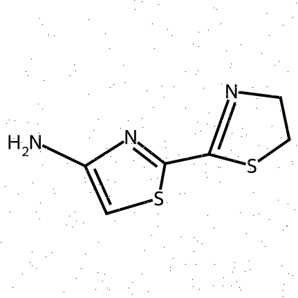 Nc1csc(C2=NCCS2)n1